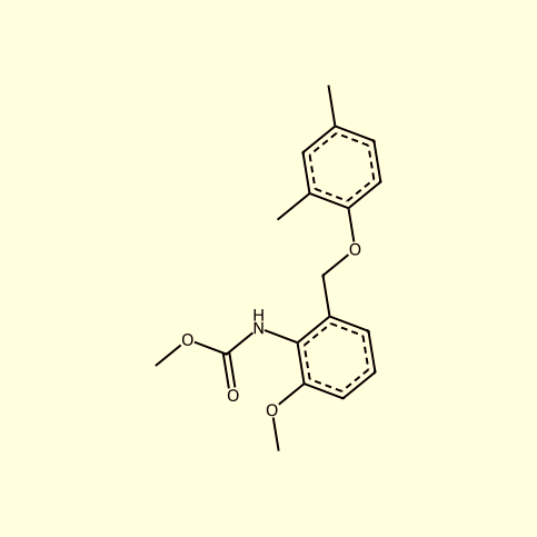 COC(=O)Nc1c(COc2ccc(C)cc2C)cccc1OC